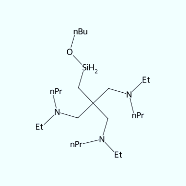 CCCCO[SiH2]CC(CN(CC)CCC)(CN(CC)CCC)CN(CC)CCC